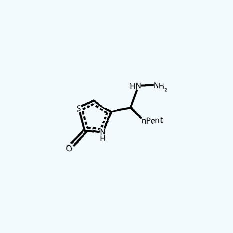 CCCCCC(NN)c1csc(=O)[nH]1